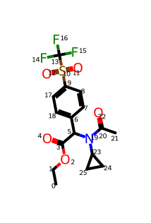 CCOC(=O)C(c1ccc(S(=O)(=O)C(F)(F)F)cc1)N(C(C)=O)C1CC1